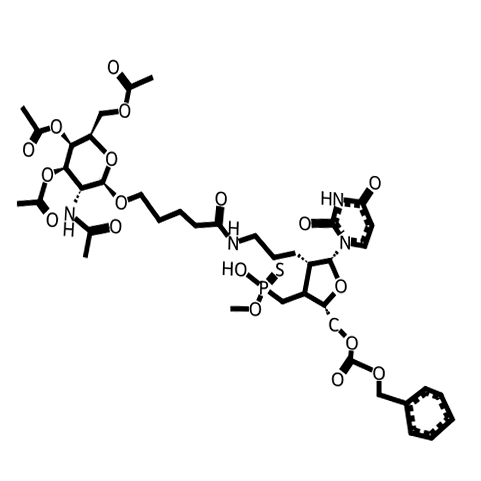 COP(O)(=S)CC1[C@@H](COC(=O)OCc2ccccc2)O[C@@H](n2ccc(=O)[nH]c2=O)[C@H]1CCCNC(=O)CCCCO[C@@H]1O[C@H](COC(C)=O)[C@H](OC(C)=O)[C@H](OC(C)=O)[C@H]1NC(C)=O